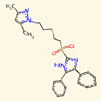 Cc1cc(C)n(CCCCCS(=O)(=O)c2nc(-c3ccccc3)c(-c3ccccc3)[nH]2)n1